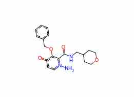 Nn1ccc(=O)c(OCc2ccccc2)c1C(=O)NCC1CCOCC1